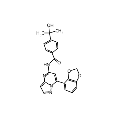 CC(C)(O)c1ccc(C(=O)Nc2cc(-c3cccc4c3OCO4)n3nccc3n2)cc1